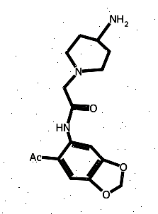 CC(=O)c1cc2c(cc1NC(=O)CN1CCC(N)CC1)OCO2